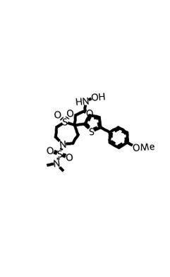 COc1ccc(-c2ccc(C3(CC(=O)NO)CCN(S(=O)(=O)N(C)C)CCS3(=O)=O)s2)cc1